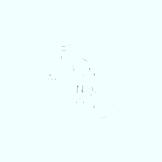 CCOc1ccnc2c1c(C(C)=O)cn2S(=O)(=O)c1ccccc1